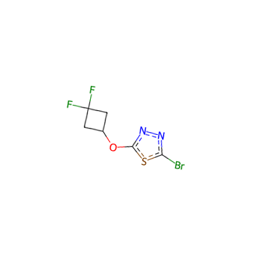 FC1(F)CC(Oc2nnc(Br)s2)C1